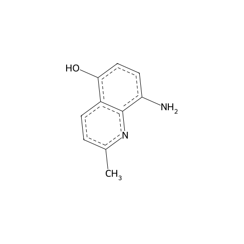 Cc1ccc2c(O)ccc(N)c2n1